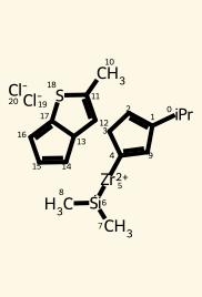 CC(C)C1=CC[C]([Zr+2][Si](C)C)=C1.CC1=CC2C=CC=C2S1.[Cl-].[Cl-]